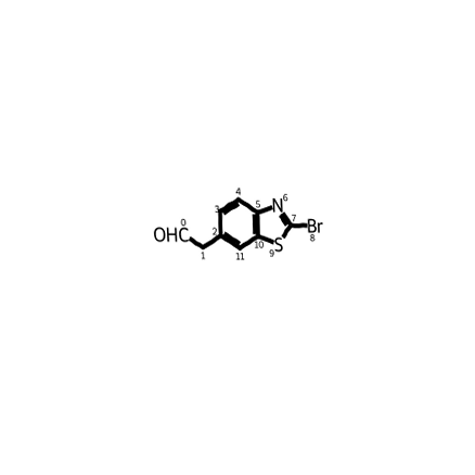 O=CCc1ccc2nc(Br)sc2c1